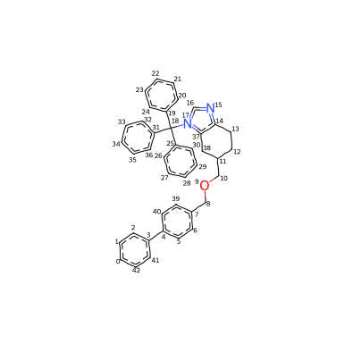 c1ccc(-c2ccc(COCC3CCc4ncn(C(c5ccccc5)(c5ccccc5)c5ccccc5)c4C3)cc2)cc1